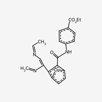 C=N/C(=C\N=C/C)c1c(C(=O)Nc2ccc(C(=O)OCC)cc2)c2ccc1o2